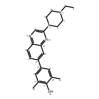 CCN1CCN(c2cnc3ccc(-c4cc(C)c(O)c(C)c4)cc3n2)CC1